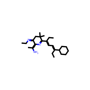 CC/N=C1/CC(C)(C)C(C(=C/C=C(\CC)C2CCCCC2)/CC)=N/C1=C(/C)N